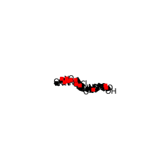 Cc1c(NC(=O)c2nc3c(n2C)CCN(CC(C)O)C3)cccc1-c1cccc(NC(=O)c2nc3c(n2C)CCN(CC2CCC(C(=O)O)CC2)C3)c1Cl